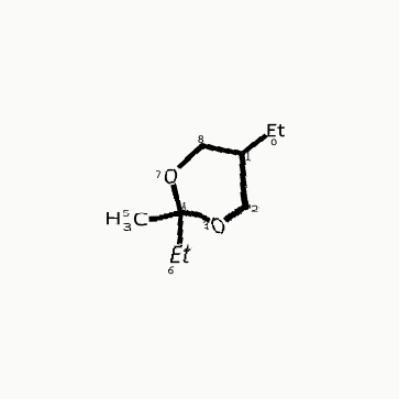 CCC1COC(C)(CC)OC1